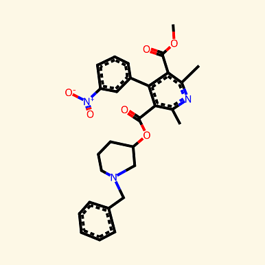 COC(=O)c1c(C)nc(C)c(C(=O)OC2CCCN(Cc3ccccc3)C2)c1-c1cccc([N+](=O)[O-])c1